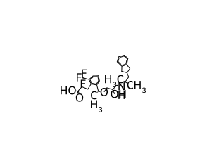 C[C@@H](OC[C@H](O)CNC(C)(C)CC1Cc2ccccc2C1)c1cccc(C(F)(F)F)c1CCC(=O)O